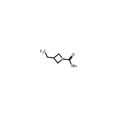 CC(C)(C)C(=O)N1CC(CC(F)(F)F)C1